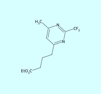 CCOC(=O)CCCc1cc(C)nc(C(F)(F)F)n1